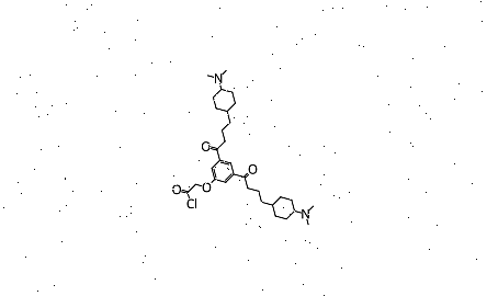 CN(C)C1CCC(CCCC(=O)c2cc(OCC(=O)Cl)cc(C(=O)CCCC3CCC(N(C)C)CC3)c2)CC1